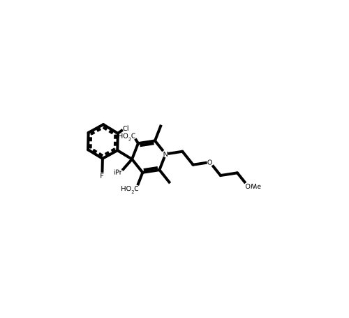 COCCOCCN1C(C)=C(C(=O)O)C(c2c(F)cccc2Cl)(C(C)C)C(C(=O)O)=C1C